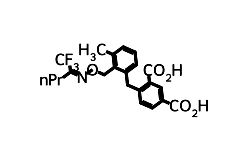 CCCC(=NOCc1c(C)cccc1Cc1ccc(C(=O)O)cc1C(=O)O)C(F)(F)F